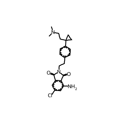 CN(C)CCC1(c2ccc(CCN3C(=O)c4cc(Cl)cc(N)c4C3=O)cc2)CC1